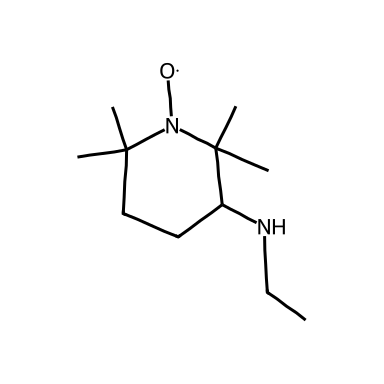 CCNC1CCC(C)(C)N([O])C1(C)C